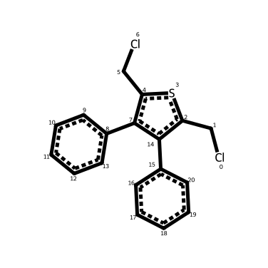 ClCc1sc(CCl)c(-c2ccccc2)c1-c1ccccc1